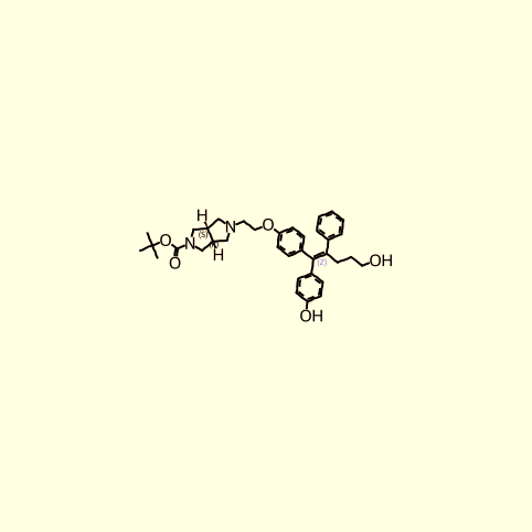 CC(C)(C)OC(=O)N1C[C@H]2CN(CCOc3ccc(/C(=C(/CCCO)c4ccccc4)c4ccc(O)cc4)cc3)C[C@H]2C1